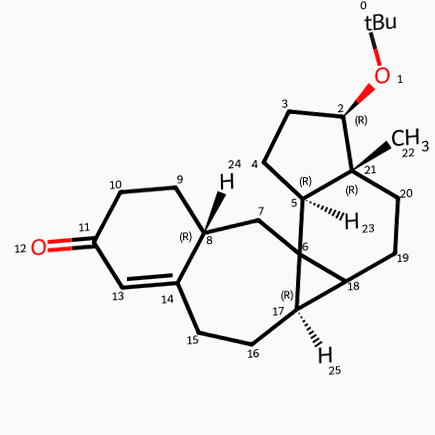 CC(C)(C)O[C@@H]1CC[C@@H]2C34C[C@H]5CCC(=O)C=C5CC[C@@H]3C4CC[C@]21C